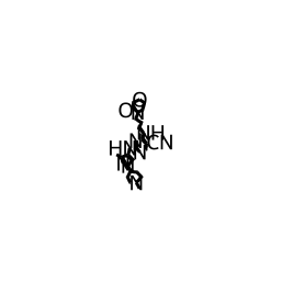 Cc1nn(C2CCN(C)CC2)cc1Nc1ncc(C#N)c(NCCCN2CCOCC2=O)n1